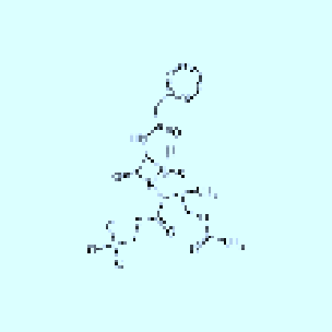 CC(=O)OCC1(C)S[C@@H]2C(NC(=O)Cc3ccccc3)C(=O)N2C1C(=O)OCC(Cl)(Cl)Cl